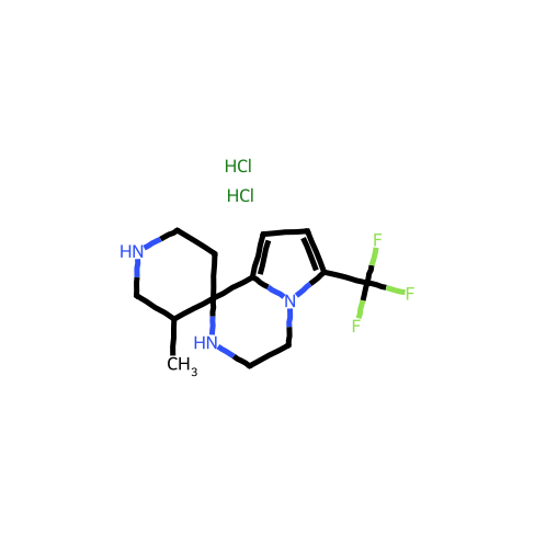 CC1CNCCC12NCCn1c(C(F)(F)F)ccc12.Cl.Cl